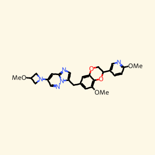 COc1ccc(C2COc3cc(Cc4cnc5cc(N6CC(OC)C6)cnn45)cc(OC)c3O2)cn1